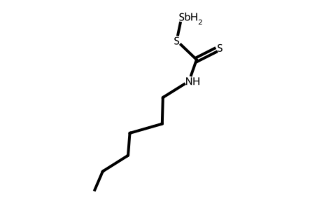 CCCCCCNC(=S)[S][SbH2]